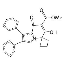 COC(=O)C1=C(O)C2(CCC2)n2cc(-c3ccccc3)c(-c3ccccc3)c2C1=O